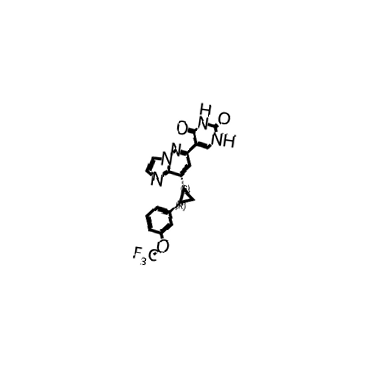 O=c1[nH]cc(-c2cc([C@@H]3C[C@H]3c3cccc(OC(F)(F)F)c3)c3nccn3n2)c(=O)[nH]1